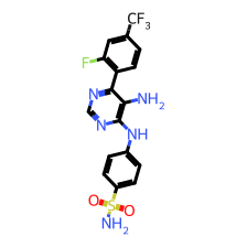 Nc1c(Nc2ccc(S(N)(=O)=O)cc2)ncnc1-c1ccc(C(F)(F)F)cc1F